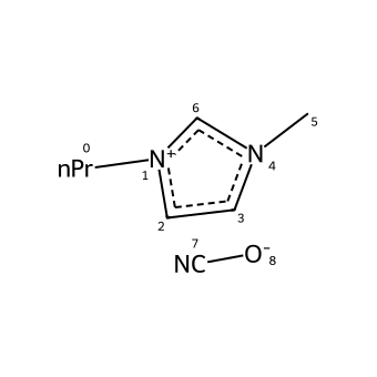 CCC[n+]1ccn(C)c1.N#C[O-]